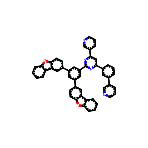 c1cncc(-c2cccc(-c3cc(-c4cccnc4)nc(-c4cc(-c5ccc6oc7ccccc7c6c5)cc(-c5ccc6oc7ccccc7c6c5)c4)n3)c2)c1